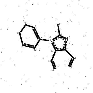 C=Cc1nc(C)n(C2=CCCC=C2)c1C=C